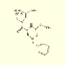 CCOC(=O)CN(CC(OC)OC)C(=O)[C@H](COCc1ccccc1)NC(=O)OC(C)(C)C